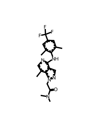 Cc1cc(C(F)(F)F)cc(C)c1Nc1ncc(C)c2c1cnn2CC(=O)N(C)C